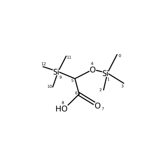 C[Si](C)(C)OC(C(=O)O)[Si](C)(C)C